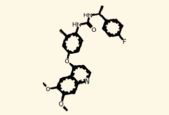 COc1cc2nccc(Oc3ccc(NC(=O)NC(C)c4ccc(F)cc4)c(C)c3)c2cc1OC